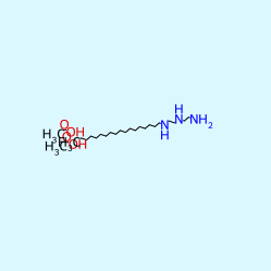 CC(=O)O.CC(=O)O.CCCCCCCCCCCCCCCCCCNCCNCCN